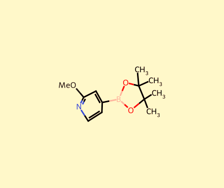 COc1cc(B2OC(C)(C)C(C)(C)O2)ccn1